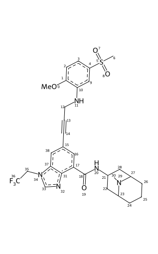 COc1ccc(S(C)(=O)=O)cc1NCC#Cc1cc(C(=O)NC2CC3CCCC(C2)N3C)c2ncn(CC(F)(F)F)c2c1